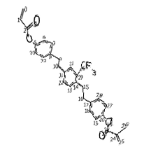 C=CC(=O)Oc1ccc(CCc2ccc(CCc3ccc(OC(=O)C(=C)C)cc3)c(C(F)(F)F)c2)cc1